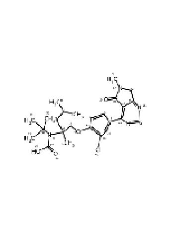 CC(C)CC(C)(COc1ccc(-c2ccnc3c2C(=O)N(C)C3)cc1Cl)N(C(=O)O)C(C)(C)C